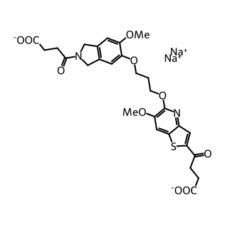 COc1cc2c(cc1OCCCOc1nc3cc(C(=O)CCC(=O)[O-])sc3cc1OC)CN(C(=O)CCC(=O)[O-])C2.[Na+].[Na+]